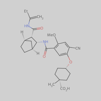 C=C(CC)NC(=O)[C@H]1[C@@H]2CC[C@@H](C2)[C@H]1NC(=O)c1cc(O[C@H]2CC[C@@](C)(C(=O)O)CC2)c(C#N)cc1OC